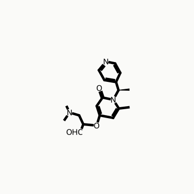 Cc1cc(OC(C=O)CN(C)C)cc(=O)n1[C@H](C)c1ccncc1